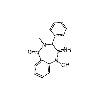 CN1C(=O)c2ccccc2N(O)C(=N)C1c1ccccc1